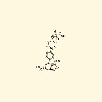 CCOc1cc(-c2ccc(N3CCC(NS(=O)(=O)CC(C)C)CC3)nc2)c2c(C#N)cnn2c1